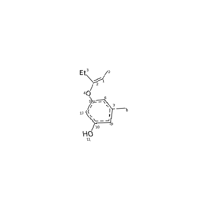 CC=C(CC)Oc1cc(C)[c]c(O)c1